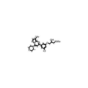 CNCC(O)COc1cc(Cl)cc(-c2cc(N3CCOCC3)n3ncc(C(C)C)c3n2)c1